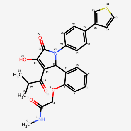 CNC(=O)COc1ccccc1C1C(C(=O)C(C)C)=C(O)C(=O)N1c1ccc(-c2ccsc2)cc1